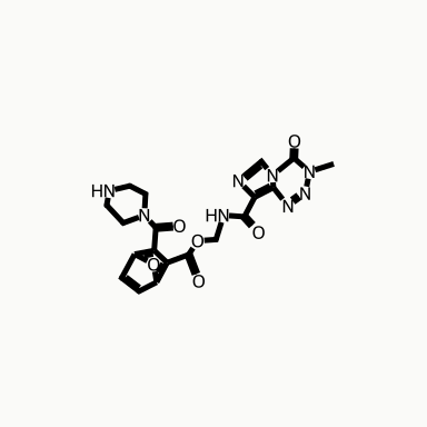 Cn1nnc2c(C(=O)NCOC(=O)c3c(C(=O)N4CCNCC4)c4ccc3o4)ncn2c1=O